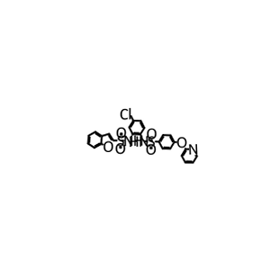 O=S(=O)(Nc1ccc(Cl)cc1NS(=O)(=O)c1cc2ccccc2o1)c1ccc(Oc2ccccn2)cc1